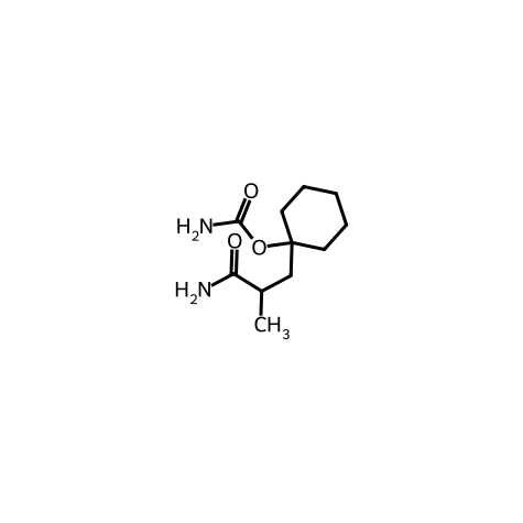 CC(CC1(OC(N)=O)CCCCC1)C(N)=O